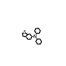 c1ccc(N(c2ccccc2)c2ccc3ccsc3c2)cc1